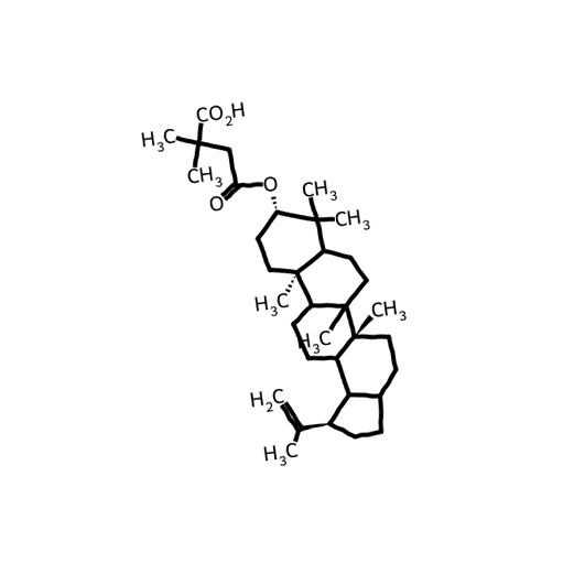 C=C(C)[C@@H]1CCC2CC[C@]3(C)C(CCC4C3(C)CCC3C(C)(C)[C@@H](OC(=O)CC(C)(C)C(=O)O)CC[C@@]34C)C21